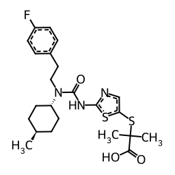 CC(C)(Sc1cnc(NC(=O)N(CCc2ccc(F)cc2)[C@H]2CC[C@H](C)CC2)s1)C(=O)O